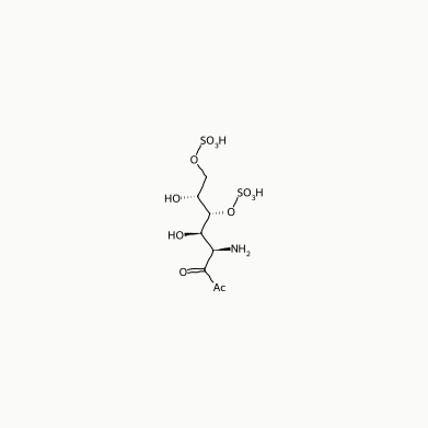 CC(=O)C(=O)[C@H](N)[C@@H](O)[C@@H](OS(=O)(=O)O)[C@H](O)COS(=O)(=O)O